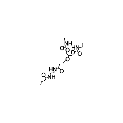 CCCC(=O)NCCNC(=O)CCCOC(COC(=O)NCC)COC(=O)NCC